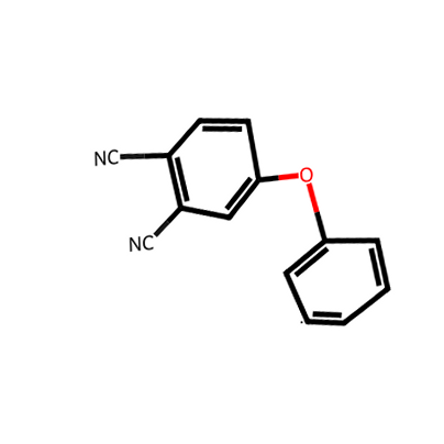 N#Cc1ccc(Oc2c[c]ccc2)cc1C#N